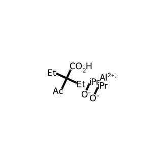 CC(C)[O-].CC(C)[O-].CCC(CC)(C(C)=O)C(=O)O.[Al+2]